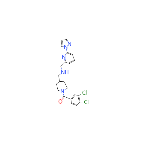 O=C(c1ccc(Cl)c(Cl)c1)N1CCC(CNCc2cccc(-n3cccn3)n2)CC1